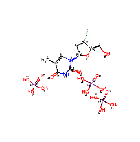 Cc1cn([C@H]2C[C@H](F)[C@@H](CO)O2)c(=O)[nH]c1=O.O=P(O)(O)O.O=P(O)(O)O.O=P(O)(O)O